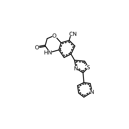 N#Cc1cc(-c2csc(-c3cccnc3)n2)cc2c1OCC(=O)N2